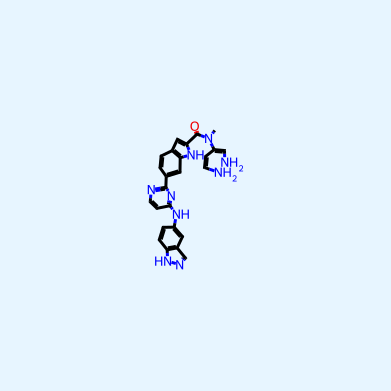 CN(C(=O)c1cc2ccc(-c3nccc(Nc4ccc5[nH]ncc5c4)n3)cc2[nH]1)C(/C=C\N)=C/N